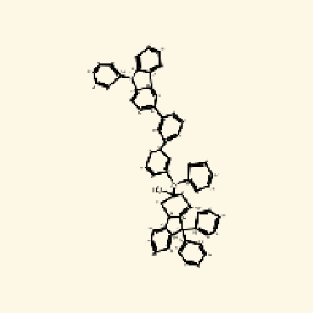 CC1(N(C2=CC(c3cccc(-c4ccc5c(c4)c4ccccc4n5-c4ccccc4)c3)CC=C2)c2ccccc2)CC=C2C(C1)c1ccccc1C2(c1ccccc1)c1ccccc1